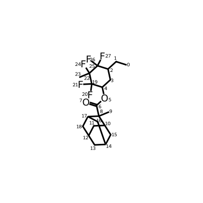 CCC1CC(OC(=O)C2(C)C3CC4CC(C3)CC2C4)C(F)(F)C(C)(F)C1(F)F